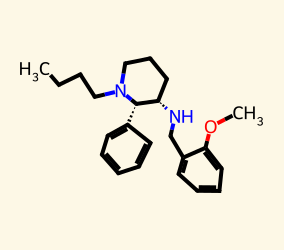 CCCCN1CCC[C@H](NCc2ccccc2OC)[C@@H]1c1ccccc1